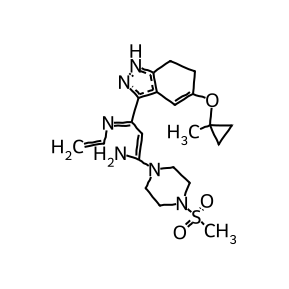 C=C/N=C(\C=C(/N)N1CCN(S(C)(=O)=O)CC1)c1n[nH]c2c1C=C(OC1(C)CC1)CC2